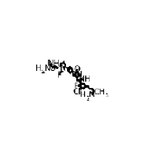 C[C@H](N)CCCc1cc(Cl)c(F)c(-c2cc3cn(-c4ccc([C@@H]5CCC[C@@H](CCOC(=N)N)N5CCF)cc4)c(=O)nc3[nH]2)c1